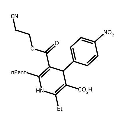 CCCCCC1=C(C(=O)OCCC#N)C(c2ccc([N+](=O)[O-])cc2)C(C(=O)O)=C(CC)N1